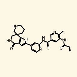 C=CC(=O)Nc1cc(C(=O)Nc2cc(-c3cc4c([nH]3)C3(CCCNC3)CNC4=O)ccn2)cnc1C